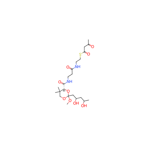 COC1(CC(O)CC(C)O)OCC(C)(C)[C@H](C(=O)NCCC(=O)NCCSC(=O)CC(C)=O)O1